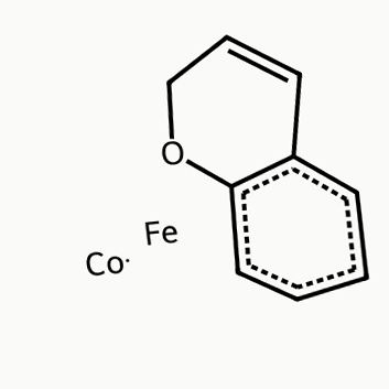 C1=Cc2ccccc2OC1.[Co].[Fe]